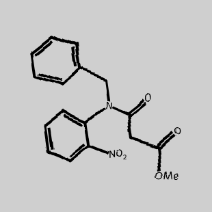 COC(=O)CC(=O)N(Cc1ccccc1)c1ccccc1[N+](=O)[O-]